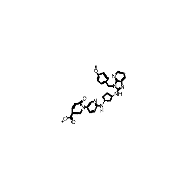 COC(=O)c1ccc(=O)n(-c2ccc(N[C@H]3CC[C@H](Nc4nc5cccnc5n4Cc4ccc(OC)cc4)C3)nc2)c1